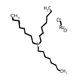 CCCCCCCCP(CCCCCCCC)CCCCCCCC.[Cl][Ru][Cl]